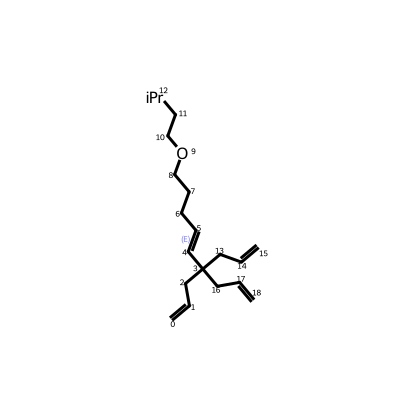 C=CCC(/C=C/CCCOCCC(C)C)(CC=C)CC=C